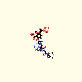 CN(C)C(=O)CNC(=O)C(C)(N)CN1CC(Oc2ccc(C3CC3B(O)O)c(O)c2C(=O)O)C1